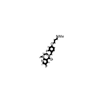 CNCCCOc1ccc(CN2CCN(C)c3ncc(F)cc3C2=O)c(F)c1